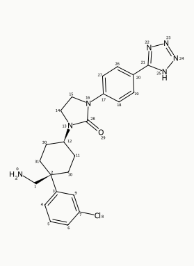 NC[C@]1(c2cccc(Cl)c2)CC[C@H](N2CCN(c3ccc(-c4nnn[nH]4)cc3)C2=O)CC1